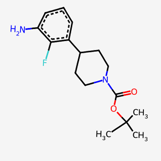 CC(C)(C)OC(=O)N1CCC(c2cccc(N)c2F)CC1